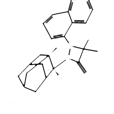 CC1(C)C(=O)N([C@@H]2C3CC4C[C@H]2C[C@](C(=O)O)(C4)C3)N1c1cccc2ccccc12